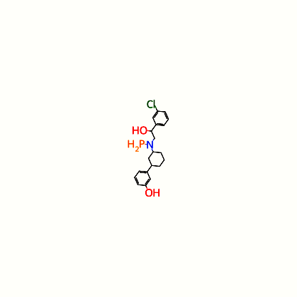 Oc1cccc(C2CCCC(N(P)CC(O)c3cccc(Cl)c3)C2)c1